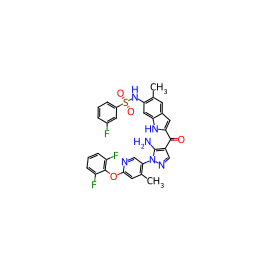 Cc1cc2cc(C(=O)c3cnn(-c4cnc(Oc5c(F)cccc5F)cc4C)c3N)[nH]c2cc1NS(=O)(=O)c1cccc(F)c1